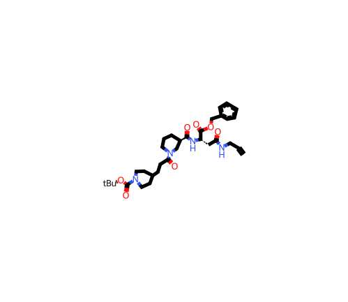 C#CCNC(=O)C[C@H](NC(=O)[C@@H]1CCCN(C(=O)CCC2CCN(C(=O)OC(C)(C)C)CC2)C1)C(=O)OCc1ccccc1